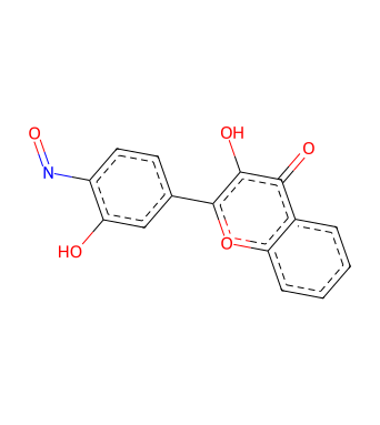 O=Nc1ccc(-c2oc3ccccc3c(=O)c2O)cc1O